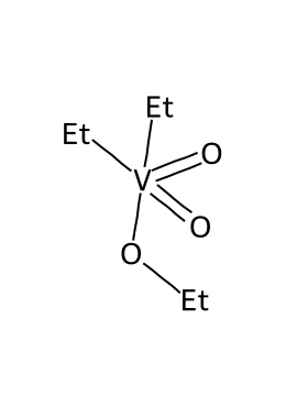 CC[O][V](=[O])(=[O])([CH2]C)[CH2]C